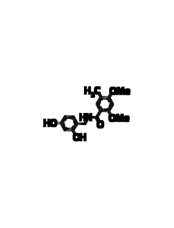 COc1cc(OC)c(C(=O)NCc2ccc(O)cc2O)cc1C